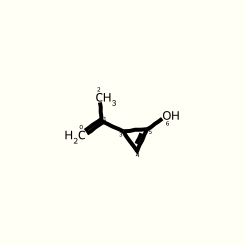 C=C(C)C1C=C1O